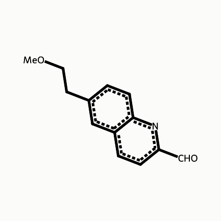 COCCc1ccc2nc(C=O)ccc2c1